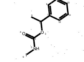 CC(OC(=O)NI)c1ccccc1